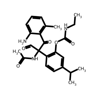 CCNC(=O)Oc1cc(C(C)C)ccc1C(C=O)(NC(C)=O)C(=O)c1c(C)cccc1N